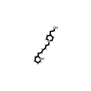 OCCC1CCN(CCCCCCC2CCCCN2)CC1